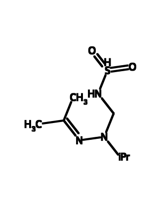 CC(C)=NN(CN[SH](=O)=O)C(C)C